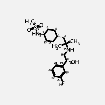 CC(C)(C[C@H]1CC[C@H](NS(C)(=O)=O)CC1)NC[C@H](O)c1cccc(F)c1